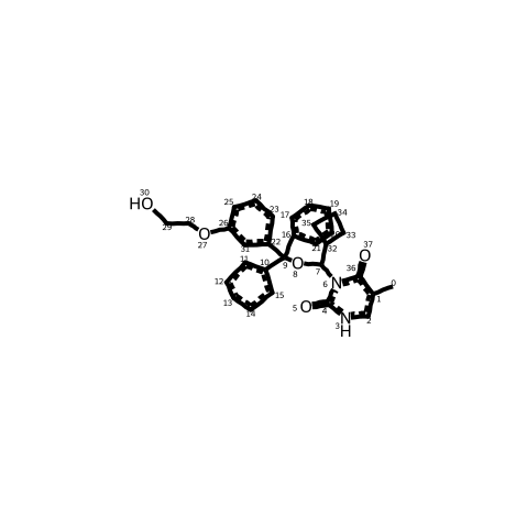 Cc1c[nH]c(=O)n(C(OC(c2ccccc2)(c2ccccc2)c2cccc(OCCO)c2)C2CCC2)c1=O